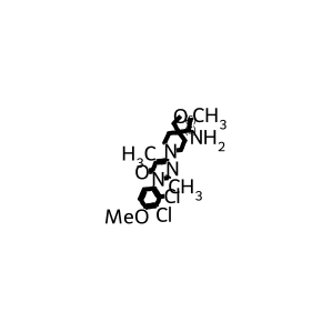 COc1ccc(-n2c(C)nc(N3CCC4(CC3)CO[C@@H](C)[C@H]4N)c(C)c2=O)c(Cl)c1Cl